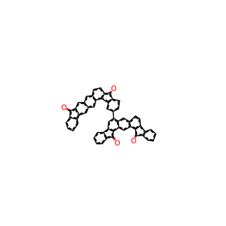 O=c1c2ccccc2c2cc3cc4c(ccc5c(=O)c6ccc(-c7cc8c9ccccc9c(=O)c8c8cc9c(ccc%10c%11ccccc%11c(=O)c9%10)cc78)cc6c54)cc3cc12